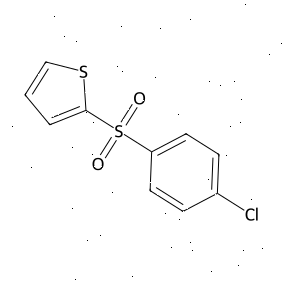 O=S(=O)(c1ccc(Cl)cc1)c1cccs1